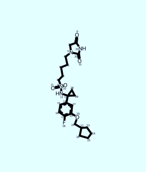 O=C1CN(CCCCCS(=O)(=O)NC2(c3ccc(F)c(OCC4CCCC4)c3)CC2)C(=O)N1